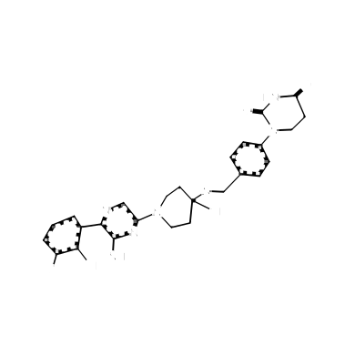 CC1(NCc2ccc(N3CCC(=O)NC3=O)cc2)CCN(c2cnc(-c3cccc(Cl)c3Cl)c(N)n2)CC1